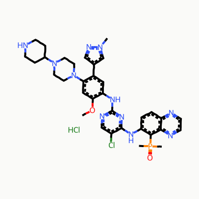 COc1cc(N2CCN(C3CCNCC3)CC2)c(-c2cnn(C)c2)cc1Nc1ncc(Cl)c(Nc2ccc3nccnc3c2P(C)(C)=O)n1.Cl